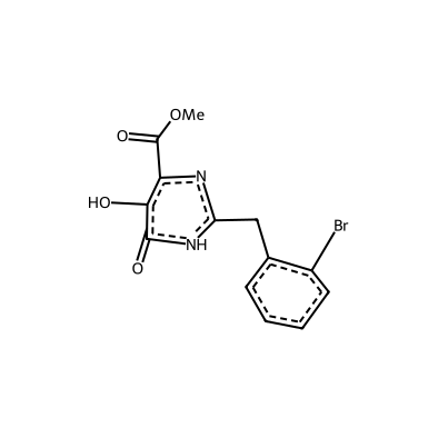 COC(=O)c1nc(Cc2ccccc2Br)[nH]c(=O)c1O